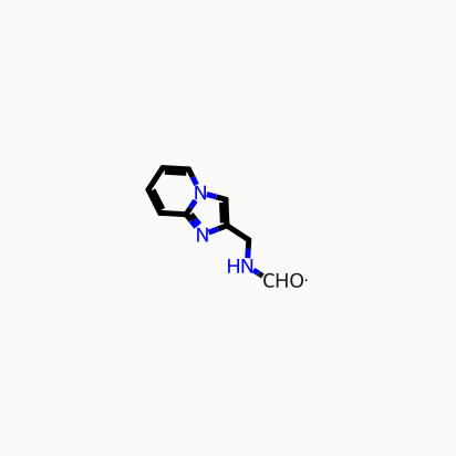 O=[C]NCc1cn2ccccc2n1